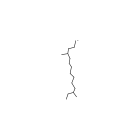 [CH2]CCC(C)CCCCCCCC(C)CC